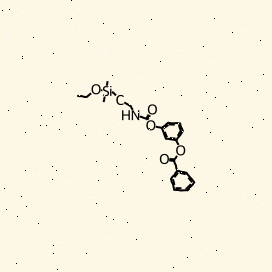 CCO[Si](C)(C)CCCNC(=O)Oc1cccc(OC(=O)c2ccccc2)c1